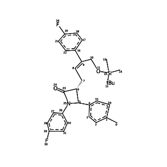 Cc1ccc(C2[C@@H](C/C=C(\CO[Si](C)(C)C(C)(C)C)c3ccc(F)cc3)C(=O)N2c2ccc(F)cc2)cc1